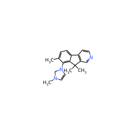 Cc1ccc2c(c1N1C=CN(C)C1)C(C)(C)c1cnccc1-2